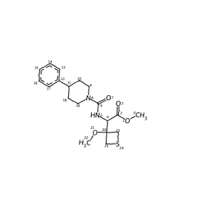 COC(=O)C(NC(=O)N1CCC(c2ccccc2)CC1)C1(OC)CSC1